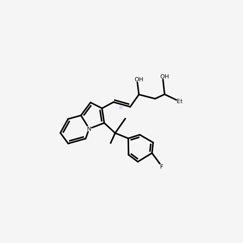 CCC(O)CC(O)/C=C/c1cc2ccccn2c1C(C)(C)c1ccc(F)cc1